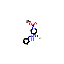 CC(C)(C)OC(=O)N1CCC(NCc2ccccc2)(C(F)(F)F)CC1